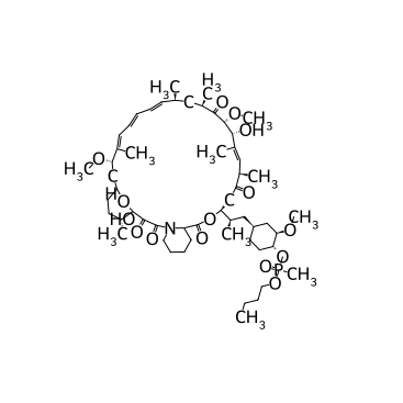 CCCCOP(C)(=O)O[C@@H]1CC[C@@H](C[C@@H](C)[C@@H]2CC(=O)[C@H](C)/C=C(\C)[C@@H](O)[C@@H](OC)C(=O)[C@H](C)C[C@H](C)/C=C/C=C/C=C(\C)[C@@H](OC)C[C@@H]3CC[C@@H](C)C(O)(O3)C(=O)C(=O)N3CCCCC3C(=O)O2)C[C@H]1OC